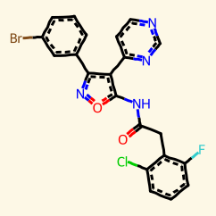 O=C(Cc1c(F)cccc1Cl)Nc1onc(-c2cccc(Br)c2)c1-c1ccncn1